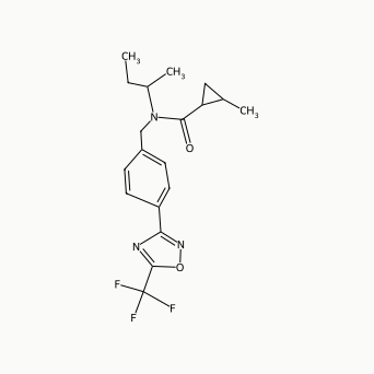 CCC(C)N(Cc1ccc(-c2noc(C(F)(F)F)n2)cc1)C(=O)C1CC1C